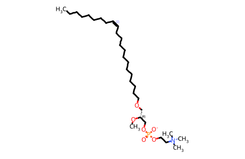 CCCCCCCC/C=C\CCCCCCCCCCCCOC[C@H](COP(=O)([O-])OCC[N+](C)(C)C)OC